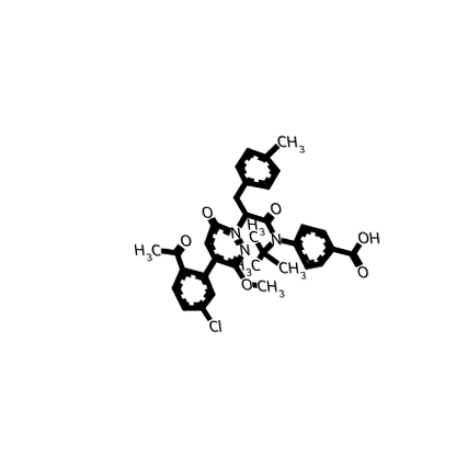 COc1nn(C(Cc2ccc(C)cc2)C(=O)N(c2ccc(C(=O)O)cc2)C(C)(C)C)c(=O)cc1-c1cc(Cl)ccc1C(C)=O